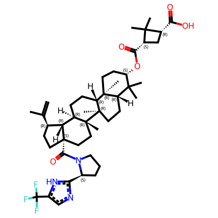 C=C(C)[C@@H]1CC[C@]2(C(=O)N3CCC[C@H]3c3ncc(C(F)(F)F)[nH]3)CC[C@]3(C)[C@H](CC[C@@H]4[C@@]5(C)CC[C@H](OC(=O)[C@H]6C[C@@H](C(=O)O)C6(C)C)C(C)(C)[C@@H]5CC[C@]43C)[C@@H]12